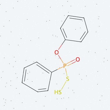 O=P(Oc1ccccc1)(SS)c1ccccc1